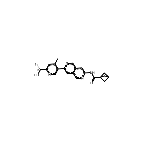 CC[C@@H](O)c1cc(C)c(-c2cc3cnc(NC(=O)C45CC(C4)C5)cc3cn2)cn1